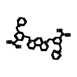 OB(O)c1cc(C[n+]2ccccc2)cc(C[n+]2cccc3c4ccc[n+](Cc5cc(C[n+]6ccccc6)cc(B(O)O)c5)c4ccc32)c1